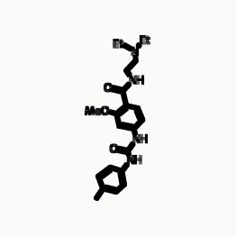 CCN(CC)CCNC(=O)c1ccc(NC(=O)Nc2ccc(C)cc2)cc1OC